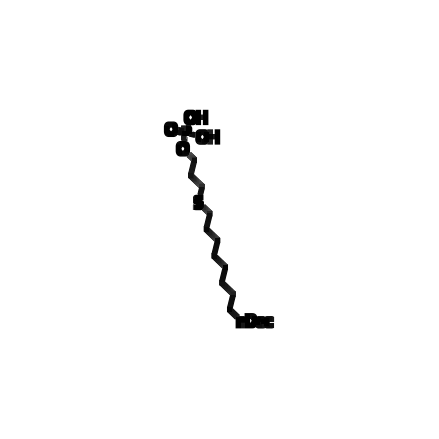 CCCCCCCCCCCCCCCCCCSCCCOP(=O)(O)O